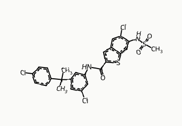 CC(C)(c1ccc(Cl)cc1)c1cc(Cl)cc(NC(=O)c2cc3cc(Cl)c(NS(C)(=O)=O)cc3s2)c1